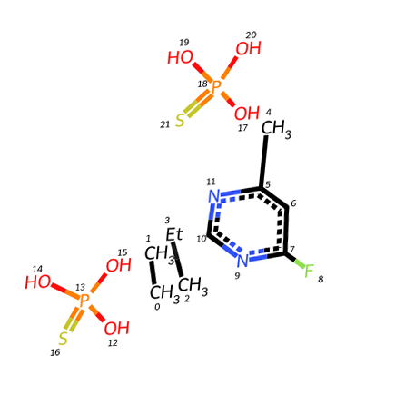 CC.CCC.Cc1cc(F)ncn1.OP(O)(O)=S.OP(O)(O)=S